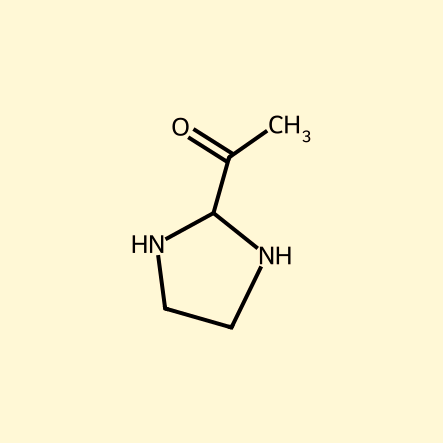 CC(=O)C1NCCN1